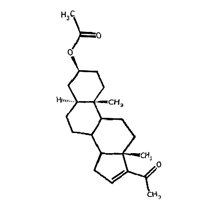 CC(=O)O[C@H]1CC[C@]2(C)C3CC[C@]4(C)C(C(C)=O)=CCC4C3CC[C@H]2C1